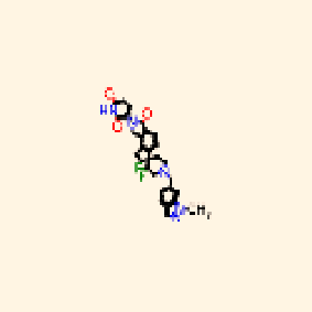 Cn1ncc2ccc(CN3CCC4(CCc5c4ccc4c5CN([C@H]5CCC(=O)NC5=O)C4=O)C(F)(F)C3)cc21